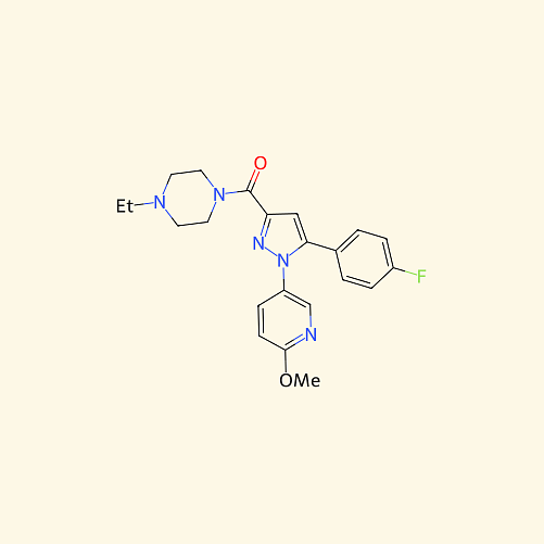 CCN1CCN(C(=O)c2cc(-c3ccc(F)cc3)n(-c3ccc(OC)nc3)n2)CC1